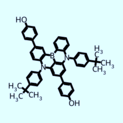 CC(C)(C)c1ccc(N2c3ccccc3B3c4cc(-c5ccc(O)cc5)ccc4N(c4ccc(C(C)(C)C)cc4)c4cc(-c5ccc(O)cc5)cc2c43)cc1